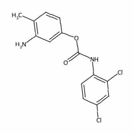 Cc1ccc(OC(=O)Nc2ccc(Cl)cc2Cl)cc1N